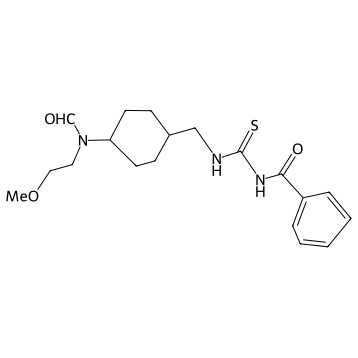 COCCN(C=O)C1CCC(CNC(=S)NC(=O)c2ccccc2)CC1